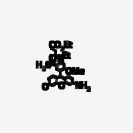 CCOC(=O)CCCN(CC)c1cc(OC)c(-c2c3ccc(=O)cc-3oc3cc(N)ccc23)cc1N(C)C